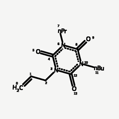 C=CCn1c(=O)n(CCC)c(=O)n(CCCC)c1=O